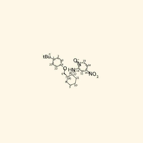 CC(C)(C)c1ccc(OC[C@@H]2CCCC[C@H]2Nc2cc([N+](=O)[O-])cc[n+]2[O-])cc1